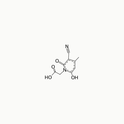 Cc1cc(O)n(CC(=O)O)c(=O)c1C#N